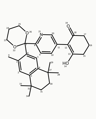 Cc1cc2c(cc1C1(c3ccc(C4=C(O)CCCC4=O)cn3)OCCCO1)C(C)(C)CCC2(C)C